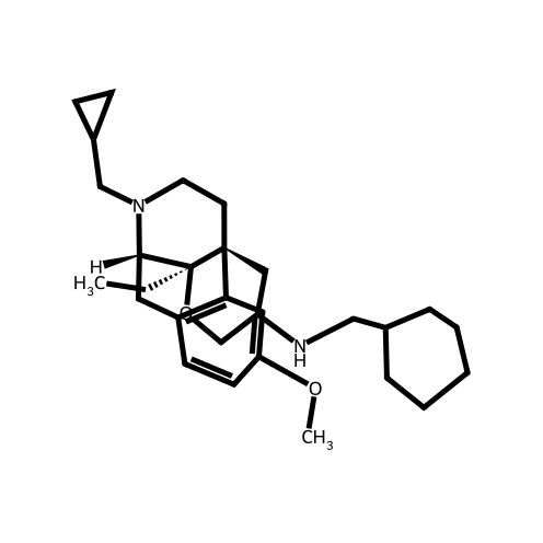 CC[C@@]12OCC(NCC3CCCCC3)C[C@]13CCN(CC1CC1)[C@H]2Cc1ccc(OC)cc13